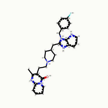 Cc1nc2ccccn2c(=O)c1CCN1CCC(Cc2nc3cccnc3n2Cc2ccc(F)cc2)CC1